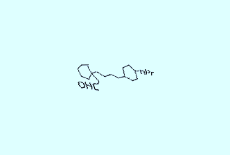 CCCC1CCC(CCCCC2(CC=O)CCCCC2)CC1